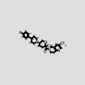 CC1(C(=O)N2CCc3ncc(C(F)(F)F)cc3C2)CC[C@@H](N2CCC(c3ccc(F)cc3)CC2)CO1